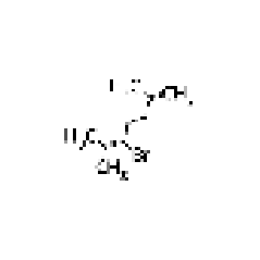 C=C(C)CCC(Br)=C(C)C